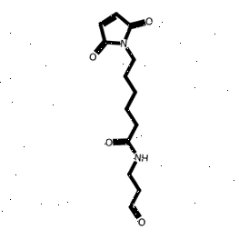 O=CCCNC(=O)CCCCCN1C(=O)C=CC1=O